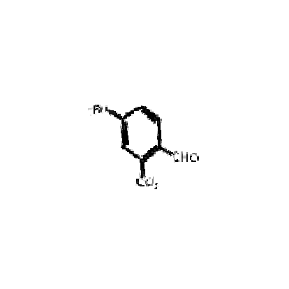 CC(C)(C)c1ccc(C=O)c(C(Cl)(Cl)Cl)c1